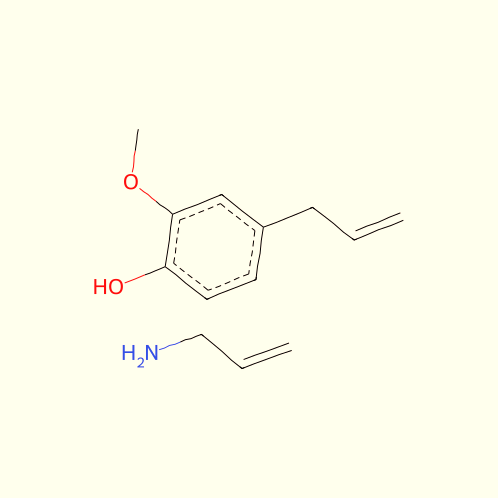 C=CCN.C=CCc1ccc(O)c(OC)c1